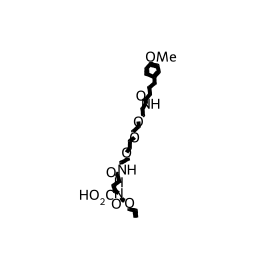 C=CCOC(=O)N[C@@H](CCC(=O)NCCOCCOCCOCCNC(=O)CCCc1ccc(OC)cc1)C(=O)O